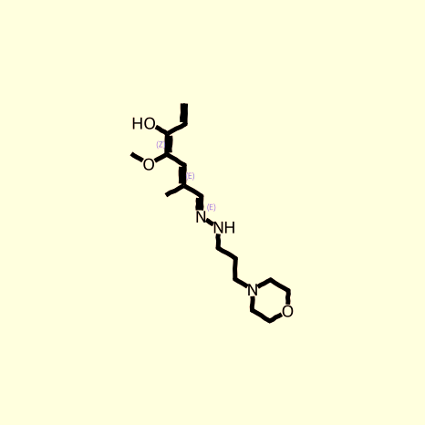 C=C\C(O)=C(/C=C(C)/C=N/NCCCN1CCOCC1)OC